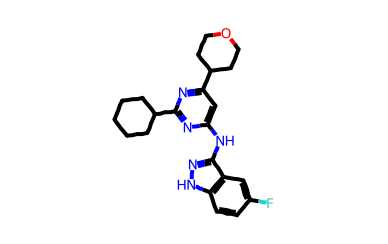 Fc1ccc2[nH]nc(Nc3cc(C4CCOCC4)nc(C4CCCCC4)n3)c2c1